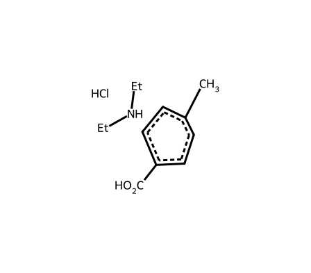 CCNCC.Cc1ccc(C(=O)O)cc1.Cl